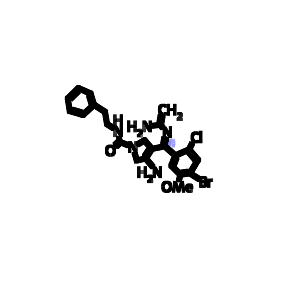 C=C(N)/N=C(\C1=C(N)CN(C(=O)NCCc2ccccc2)C1)c1cc(OC)c(Br)cc1Cl